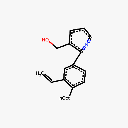 C=Cc1cc(-c2ncccc2CO)ccc1CCCCCCCC